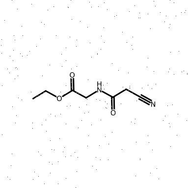 CCOC(=O)CNC(=O)CC#N